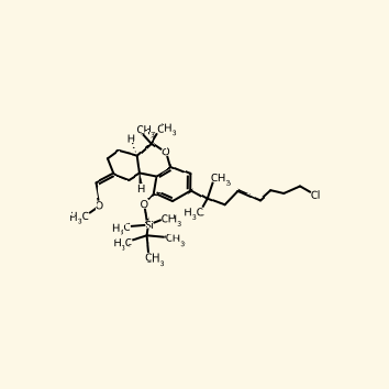 CO/C=C1/CC[C@@H]2[C@@H](C1)c1c(cc(C(C)(C)CCCCCCCl)cc1O[Si](C)(C)C(C)(C)C)OC2(C)C